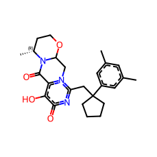 Cc1cc(C)cc(C2(Cc3nc(=O)c(O)c4n3CC3OCC[C@@H](C)N3C4=O)CCCC2)c1